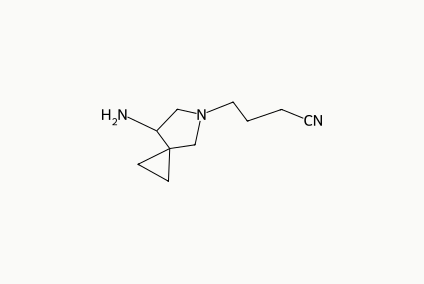 N#CCCCN1CC(N)C2(CC2)C1